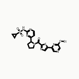 CCOc1cncc(-c2cnc(C(=O)N3CCCC3c3ccnc(NS(=O)(=O)C4CC4)n3)s2)n1